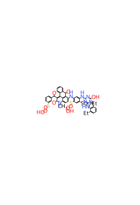 CCc1cccc(CC)c1Nc1nc(O)nc(Nc2cc(Nc3ccc4c5c3C(=O)c3ccccc3-c5c(C(=O)c3cccc(SOOO)c3)c(=O)n4C)c(SOOO)cc2S(=O)(=O)O)n1